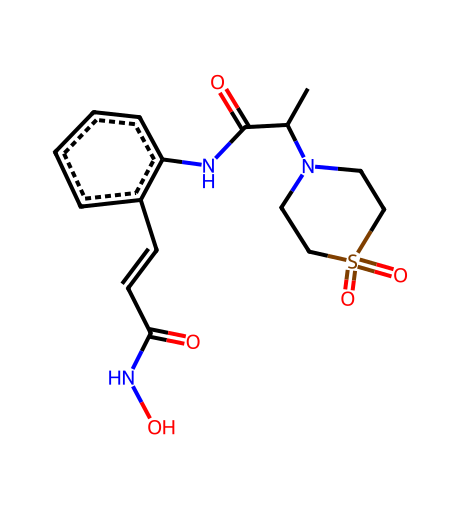 CC(C(=O)Nc1ccccc1C=CC(=O)NO)N1CCS(=O)(=O)CC1